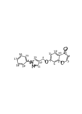 O=c1ccoc2cc(OCc3cnn(-c4ccccc4)c3)ccc12